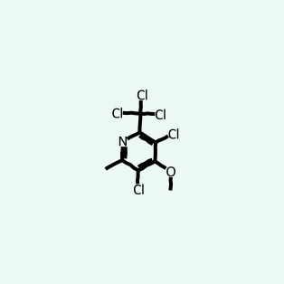 COc1c(Cl)c(C)nc(C(Cl)(Cl)Cl)c1Cl